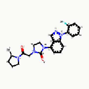 CC(C)[C@@H]1CCCN1C(=O)CN1CCN(c2cccc3c2cnn3-c2ccccc2F)C1=O